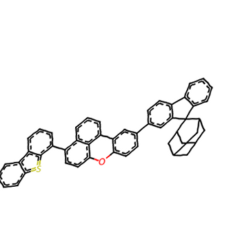 c1ccc2c(c1)-c1ccc(-c3ccc4c(c3)-c3cccc5c(-c6cccc7c6sc6ccccc67)ccc(c35)O4)cc1C21C2CC3CC(C2)CC1C3